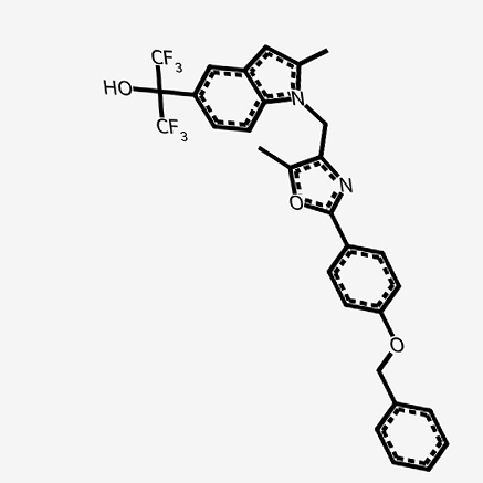 Cc1oc(-c2ccc(OCc3ccccc3)cc2)nc1Cn1c(C)cc2cc(C(O)(C(F)(F)F)C(F)(F)F)ccc21